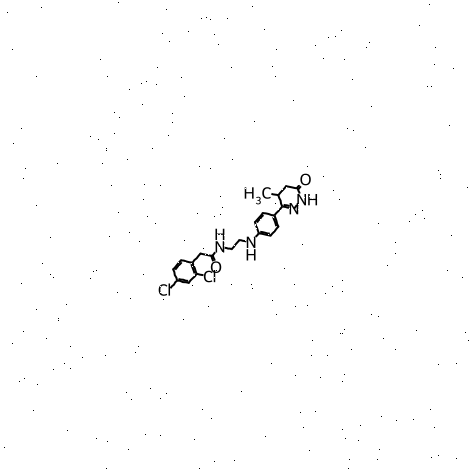 CC1CC(=O)NN=C1c1ccc(NCCNC(=O)Cc2ccc(Cl)cc2Cl)cc1